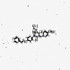 O=C(NCCO)/C(=C\c1ccc(OC(F)(F)F)cc1)NC(=O)c1ccc(OCCc2ccccc2)cc1